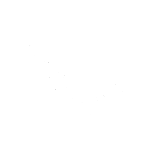 Cc1nc2ccccc2n1-c1ccc(C(=O)NC2CCN(C3CCCCC3)C2)cc1